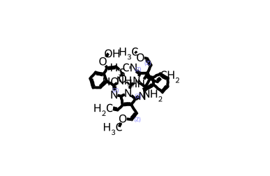 C=CC1=C(/C=C\OC)/C(=N/C)N([C@H](OO)N2/C(=N\c3[nH]cc4ccccc34)C(/C=C\OC)=C(C=C)C2/N=C2\NSC=C(OO)c3ccccc32)C1N